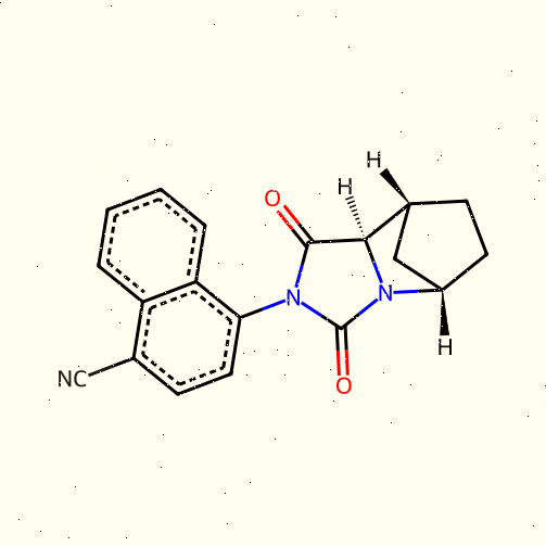 N#Cc1ccc(N2C(=O)[C@H]3[C@@H]4CC[C@@H](C4)N3C2=O)c2ccccc12